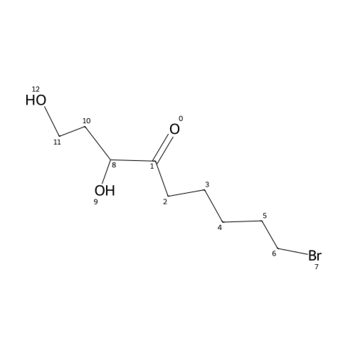 O=C(CCCCCBr)C(O)CCO